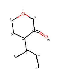 CCC(C)C1CCOCC1=O